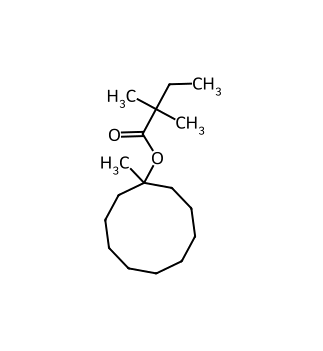 CCC(C)(C)C(=O)OC1(C)CCCCCCCCC1